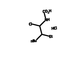 CCCCC(CC)C(Cl)NC(=O)O.Cl